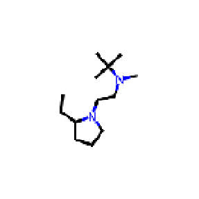 CCC1CCCN1CCN(C)C(C)(C)C